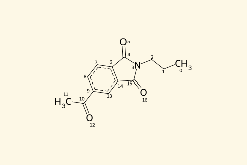 CCCN1C(=O)c2ccc(C(C)=O)cc2C1=O